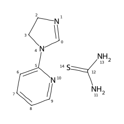 C1=NCCN1c1ccccn1.NC(N)=S